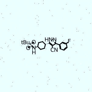 CC(C)(C)S(=O)(=O)N[C@H]1CC[C@H](c2[nH]nc(-c3cccc(F)c3)c2C#N)CC1